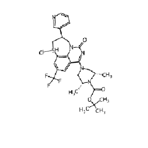 C[C@@H]1CN(c2nc(=O)n3c4c(cc(C(F)(F)F)cc24)[SH](Cl)C[C@@H](c2cccnc2)C3)C[C@H](C)N1C(=O)OC(C)(C)C